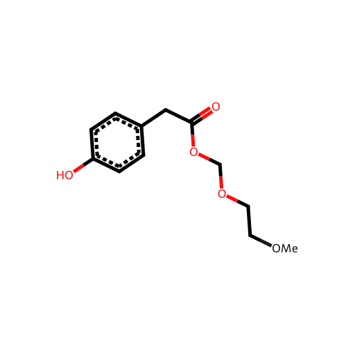 COCCOCOC(=O)Cc1ccc(O)cc1